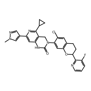 Cn1cc(-c2cc3c(c(C4CC4)n2)CN(c2cc4c(cc2Cl)CCC(c2ncccc2F)O4)C(=O)N3)cn1